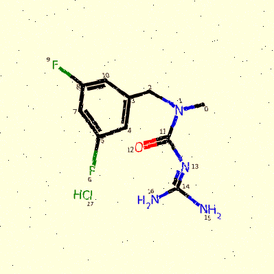 CN(Cc1cc(F)cc(F)c1)C(=O)N=C(N)N.Cl